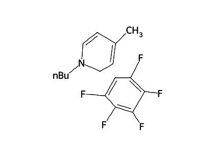 CCCCN1C=CC(C)=CC1.Fc1cc(F)c(F)c(F)c1F